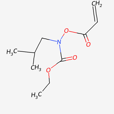 C=CC(=O)ON(CC(C)C)C(=O)OCC